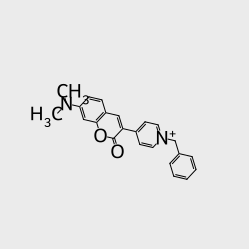 CN(C)c1ccc2cc(-c3cc[n+](Cc4ccccc4)cc3)c(=O)oc2c1